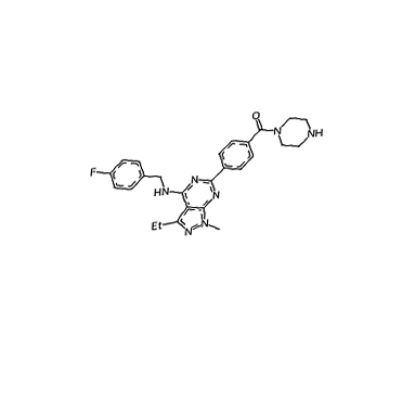 CCc1nn(C)c2nc(-c3ccc(C(=O)N4CCNCC4)cc3)nc(NCc3ccc(F)cc3)c12